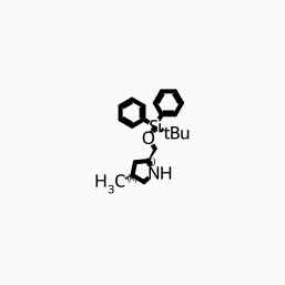 C[C@H]1CN[C@H](CO[Si](c2ccccc2)(c2ccccc2)C(C)(C)C)C1